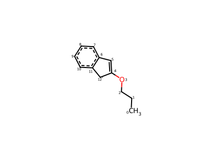 CCCOC1=Cc2ccccc2[CH]1